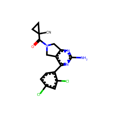 N#CC1(C(=O)N2Cc3nc(N)nc(-c4ccc(Cl)cc4Cl)c3C2)CC1